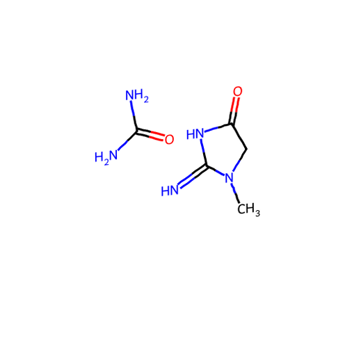 CN1CC(=O)NC1=N.NC(N)=O